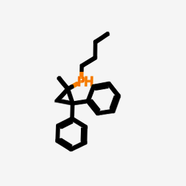 CCCCPC1(C)CC1(c1ccccc1)c1ccccc1